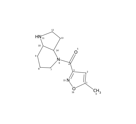 Cc1cc(C(=O)N2CCCC3NCCC32)no1